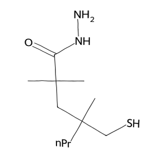 CCCC(C)(CS)CC(C)(C)C(=O)NN